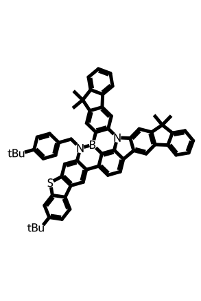 CC(C)(C)c1ccc(CN2B3c4cc5c(cc4-n4c6cc7c(cc6c6ccc(c3c64)-c3cc4c(cc32)sc2cc(C(C)(C)C)ccc24)-c2ccccc2C7(C)C)-c2ccccc2C5(C)C)cc1